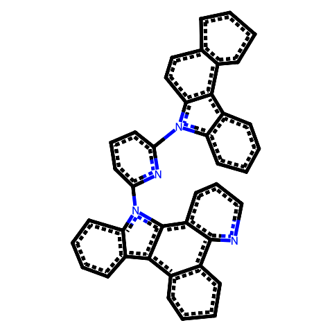 c1cc(-n2c3ccccc3c3c4ccccc4ccc32)nc(-n2c3ccccc3c3c4ccccc4c4ncccc4c32)c1